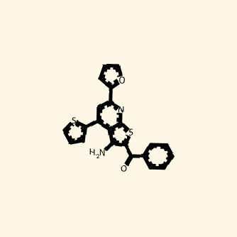 Nc1c(C(=O)c2ccccc2)sc2nc(-c3ccco3)cc(-c3cccs3)c12